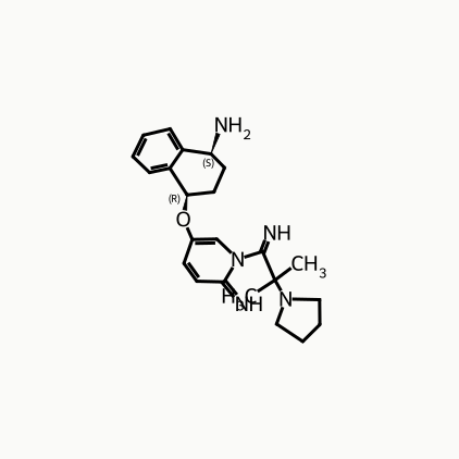 CC(C)(C(=N)n1cc(O[C@@H]2CC[C@H](N)c3ccccc32)ccc1=N)N1CCCC1